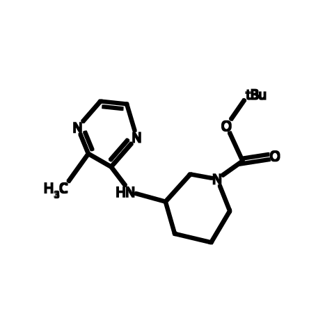 Cc1nccnc1NC1CCCN(C(=O)OC(C)(C)C)C1